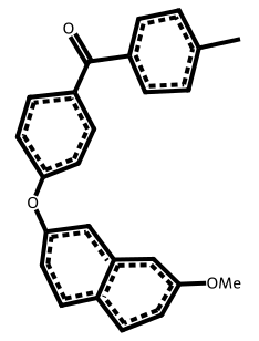 COc1ccc2ccc(Oc3ccc(C(=O)c4ccc(C)cc4)cc3)cc2c1